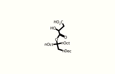 CCCCCCCCCCCC(CCCCCCCC)(CCCCCCCC)OC(=O)C(O)CC(=O)O